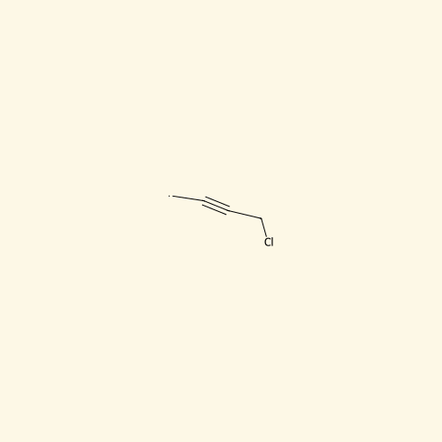 [CH2]C#CCCl